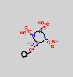 O=[PH](O)OCN1CCN(CO[PH](=O)O)CCN(CC(O)COCc2ccccc2)CCN(CO[PH](=O)O)CC1